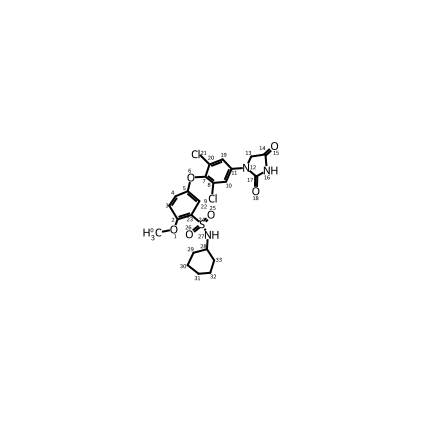 COc1ccc(Oc2c(Cl)cc(N3CC(=O)NC3=O)cc2Cl)cc1S(=O)(=O)NC1CCCCC1